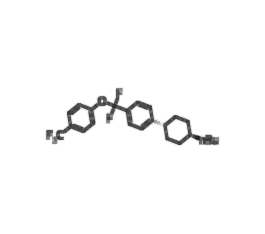 CCCC[C@H]1CC[C@H](c2ccc(C(F)(F)Oc3ccc(C(F)(F)F)cc3)cc2)CC1